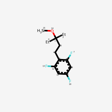 CCC(CC)(CCc1c(F)cc(F)cc1F)O[SiH3]